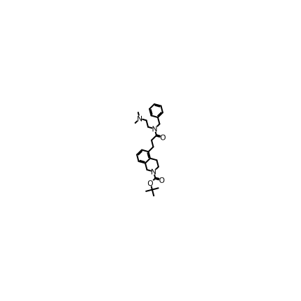 CN(C)CCN(Cc1ccccc1)C(=O)CCc1cccc2c1CCN(C(=O)OC(C)(C)C)C2